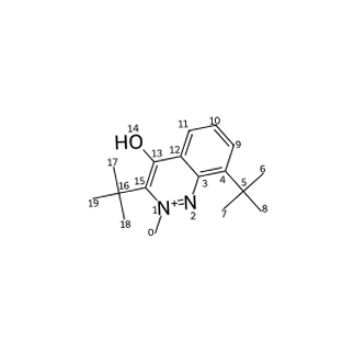 C[n+]1nc2c(C(C)(C)C)cccc2c(O)c1C(C)(C)C